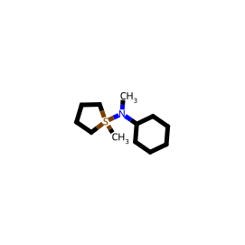 CN(C1CCCCC1)S1(C)CCCC1